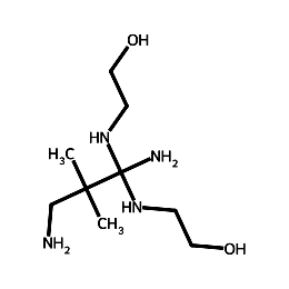 CC(C)(CN)C(N)(NCCO)NCCO